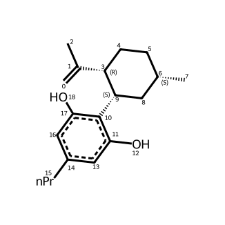 C=C(C)[C@@H]1CC[C@H](C)C[C@@H]1c1c(O)cc(CCC)cc1O